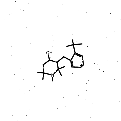 CN1C(C)(C)CC(O)C(Cc2ccccc2C(C)(C)C)C1(C)C